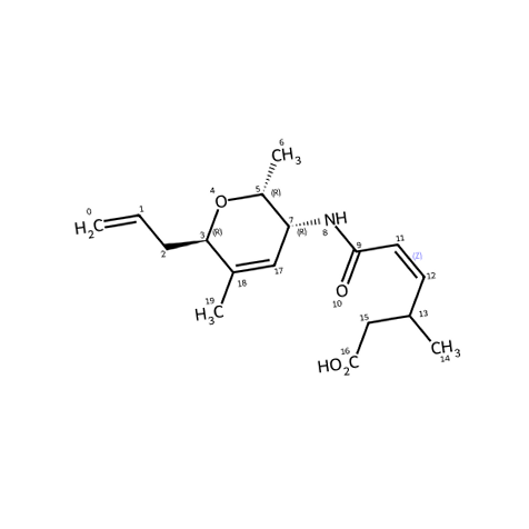 C=CC[C@H]1O[C@H](C)[C@H](NC(=O)/C=C\C(C)CC(=O)O)C=C1C